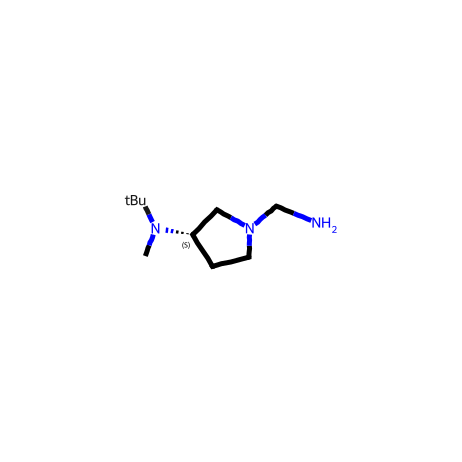 CN([C@H]1CCN(CN)C1)C(C)(C)C